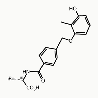 CCC(C)[C@H](NC(=O)c1ccc(COc2cccc(O)c2C)cc1)C(=O)O